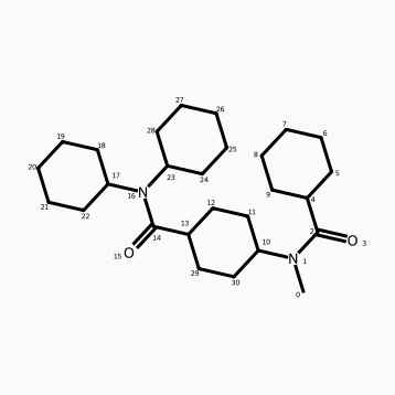 CN(C(=O)C1CCCCC1)C1CCC(C(=O)N(C2CCCCC2)C2CCCCC2)CC1